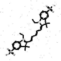 CCN1\C(=C/C=C/C=C/C2=[N+](CC)c3ccc(S(=O)(=O)O)cc3C2(C)C)C(C)(C)c2cc(S(=O)(=O)O)ccc21